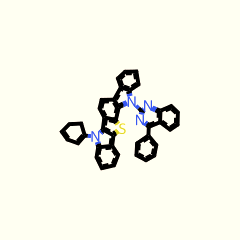 C1=CCCC(n2c3ccccc3c3sc4c(ccc5c6ccccc6n(-c6nc(-c7ccccc7)c7ccccc7n6)c54)c32)=C1